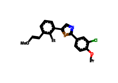 CCc1c(/C=C/OC)cccc1-c1cnc(-c2ccc(OC(C)C)c(Cl)c2)s1